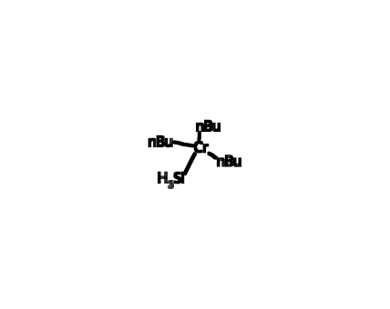 CCC[CH2][Cr]([SiH3])([CH2]CCC)[CH2]CCC